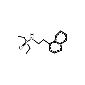 CCP(=O)(CC)NCCc1cccc2ccccc12